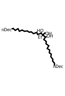 CCCCCCCCCCCCCCCCCCCCCCC(O)C(CC)(CO)C(O)CCCCCCCCCCCCCCCCCCCCCC